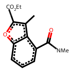 CCOC(=O)c1oc2cccc(C(=O)NC)c2c1C